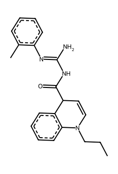 CCCN1C=CC(C(=O)NC(N)=Nc2ccccc2C)c2ccccc21